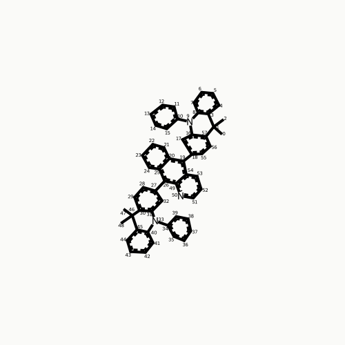 CC1(C)c2ccccc2N(c2ccccc2)c2cc(-c3c4ccccc4c(-c4ccc5c(c4)N(c4ccccc4)c4ccccc4C5(C)C)c4ncccc34)ccc21